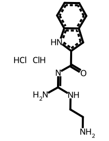 Cl.Cl.NCCNC(N)=NC(=O)c1cc2ccccc2[nH]1